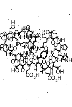 CC[C@H](C)[C@H](NC(=O)[C@H](C)NC(=O)[C@H](C)NC(=O)[C@H](CC(C)C)NC(=O)[C@@H](N)CO)C(=O)N[C@@H](C)C(=O)N[C@@H](CO)C(=O)N[C@@H](CO)C(=O)N[C@@H](CO)C(=O)N[C@@H](CC(N)=O)C(=O)N[C@H](C(=O)N[C@@H](CCC(=O)O)C(=O)N[C@@H](Cc1ccccc1)C(=O)N[C@@H](CCC(=O)O)C(=O)N[C@H](C(=O)N[C@@H](Cc1c[nH]cn1)C(=O)N[C@@H](C)C(=O)N1CCC[C@H]1C(=O)N[C@@H](CC(=O)O)C(=O)N[C@@H](CCC(N)=O)C(=O)O)[C@@H](C)O)[C@@H](C)O